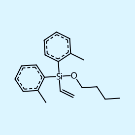 C=C[Si](OCCCC)(c1ccccc1C)c1ccccc1C